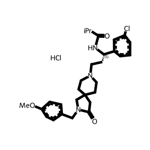 COc1ccc(CN2CC3(CCN(CC[C@H](NC(=O)C(C)C)c4cccc(Cl)c4)CC3)CC2=O)cc1.Cl